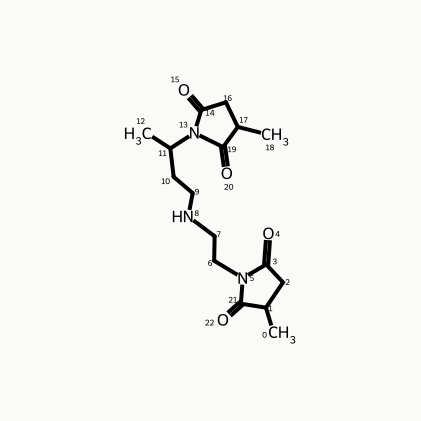 CC1CC(=O)N(CCNCCC(C)N2C(=O)CC(C)C2=O)C1=O